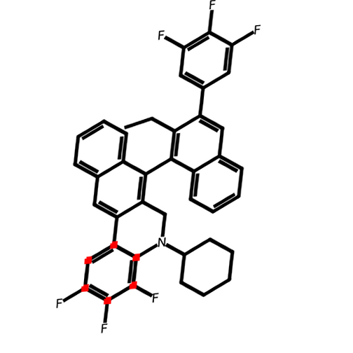 CCc1c(-c2cc(F)c(F)c(F)c2)cc2ccccc2c1-c1c(CN(C2CCCCC2)C2CCCCC2)c(-c2cc(F)c(F)c(F)c2)cc2ccccc12